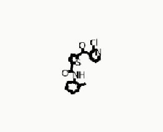 Cc1ccccc1NC(=O)c1ccc(C(=O)c2cccnc2Cl)s1